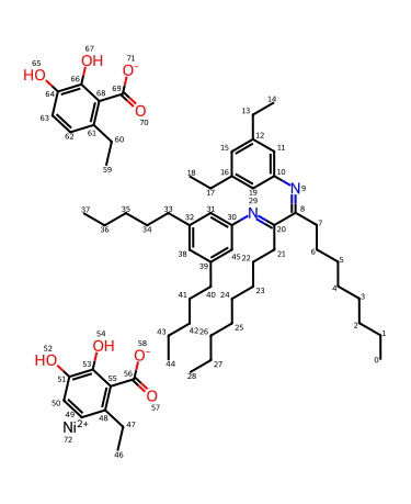 CCCCCCCCC(=Nc1cc(CC)cc(CC)c1)C(CCCCCCCC)=Nc1cc(CCCCC)cc(CCCCC)c1.CCc1ccc(O)c(O)c1C(=O)[O-].CCc1ccc(O)c(O)c1C(=O)[O-].[Ni+2]